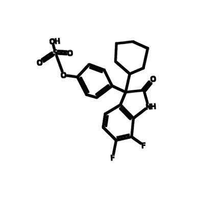 O=C1Nc2c(ccc(F)c2F)C1(c1ccc(OS(=O)(=O)O)cc1)C1CCCCC1